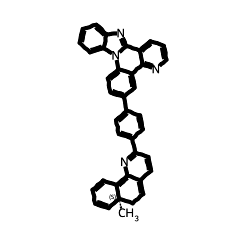 C[C@]12C=CC=CC1=c1nc(-c3ccc(-c4ccc5c(c4)c4ncccc4c4nc6ccccc6n54)cc3)ccc1=CC2